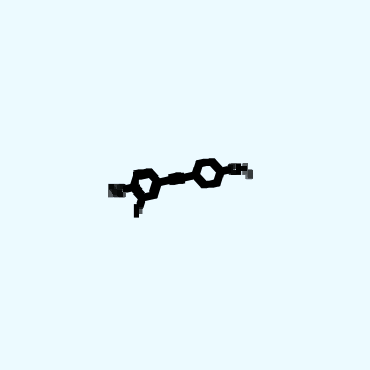 CC1CCC(C#Cc2ccc(C#N)c(F)c2)CC1